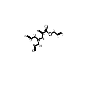 C=CCOC(=O)C(=C)CN(CC=C)CC=C